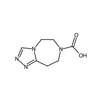 O=C(O)N1CCc2nncn2CC1